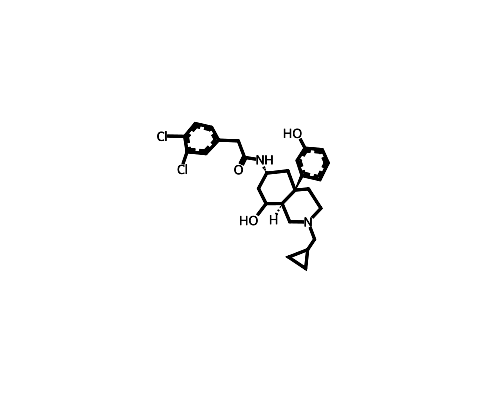 O=C(Cc1ccc(Cl)c(Cl)c1)N[C@H]1CC(O)[C@@H]2CN(CC3CC3)CC[C@@]2(c2cccc(O)c2)C1